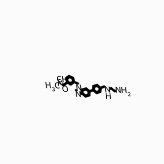 CN(C)C(=O)c1cccc(Cn2cnc3ccc(-c4ccc(CNCCN)cc4)cc32)c1